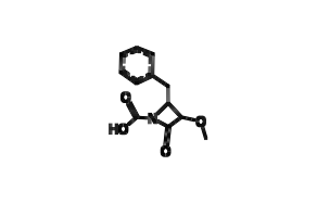 COC1C(=O)N(C(=O)O)C1Cc1ccccc1